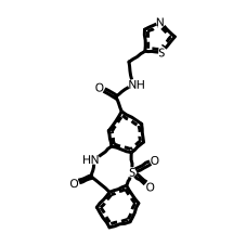 O=C(NCc1cncs1)c1ccc2c(c1)NC(=O)c1ccccc1S2(=O)=O